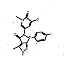 Cc1[nH]nc2c1C(=O)N(c1cc(Cl)c(=O)n(C)c1)[C@@H]2c1ccc(Cl)cc1